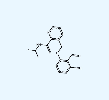 CC(C)NC(=O)c1ncccc1COc1cccc(O)c1C=O